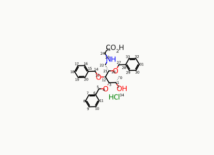 C[C@H](O)[C@H](OCc1ccccc1)[C@@H](OCc1ccccc1)[C@H](CNCC(=O)O)OCc1ccccc1.Cl